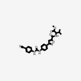 COC(=O)C(NC(=O)c1cc(-c2ccc(NC(=O)Nc3ccc(C#N)cc3)cc2)no1)C(C)C